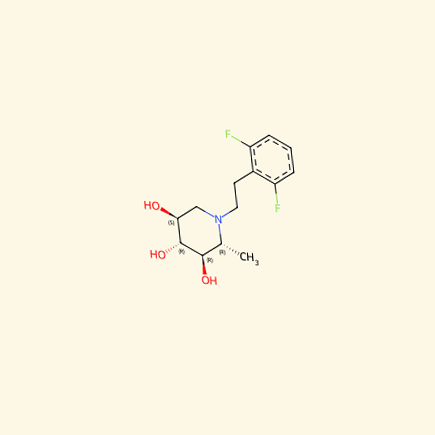 C[C@@H]1[C@@H](O)[C@H](O)[C@@H](O)CN1CCc1c(F)cccc1F